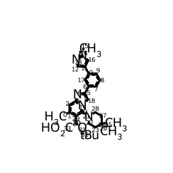 Cc1cc2nc(-c3cccc(-c4cnn(C)c4)c3)cn2c(N2CCC(C)(C)CC2)c1[C@H](OC(C)(C)C)C(=O)O